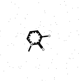 Cn1cccc([O])c1=O